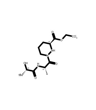 C[C@H](NC(=O)[C@@H](O)C(C)(C)C)C(=O)N1CCC[C@@H](C(=O)OCC(Cl)(Cl)Cl)N1